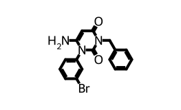 Nc1cc(=O)n(Cc2ccccc2)c(=O)n1-c1cccc(Br)c1